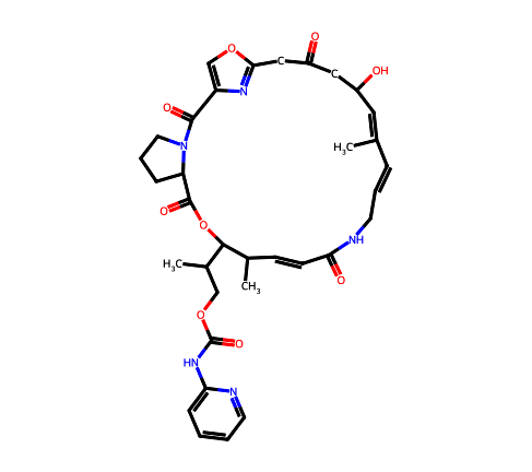 CC1=C\C(O)CC(=O)Cc2nc(co2)C(=O)N2CCCC2C(=O)OC(C(C)COC(=O)Nc2ccccn2)C(C)/C=C/C(=O)NC\C=C\1